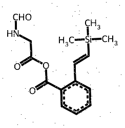 C[Si](C)(C)C=Cc1ccccc1C(=O)OC(=O)CNC=O